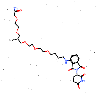 CC(COCCOCCOCCCCNc1cccc2c1C(=O)N(C1CCC(=O)NC1=O)C2=O)COCCOCC(N)=O